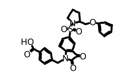 O=C(O)c1ccc(CN2C(=O)C(=O)c3cc(S(=O)(=O)N4CCCC4COc4ccccc4)ccc32)cc1